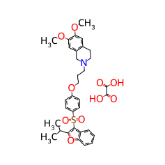 COc1cc2c(cc1OC)CN(CCCOc1ccc(S(=O)(=O)c3c(C(C)C)oc4ccccc34)cc1)CC2.O=C(O)C(=O)O